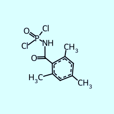 Cc1cc(C)c(C(=O)NP(=O)(Cl)Cl)c(C)c1